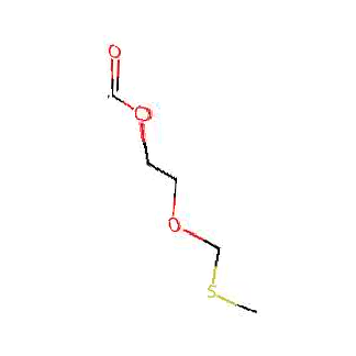 CSCOCCO[C]=O